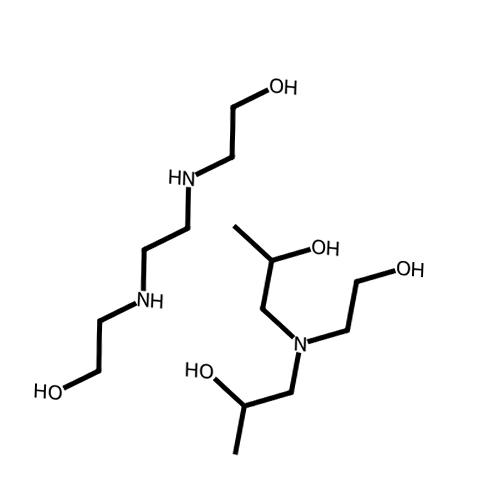 CC(O)CN(CCO)CC(C)O.OCCNCCNCCO